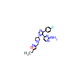 CCc1cc(CN2CCC(n3cnc(-c4ccc(F)cc4)c3-c3ccnc(N)n3)C2)no1